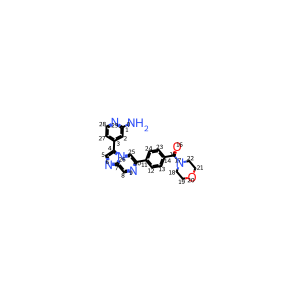 Nc1cc(-c2cnc3cnc(-c4ccc(C(=O)N5CCOCC5)cc4)cn23)ccn1